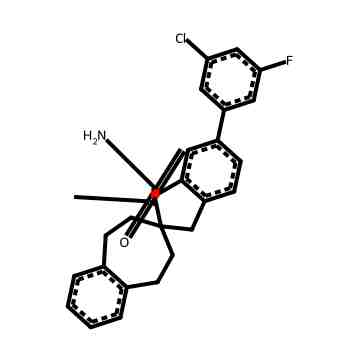 CN1C(=O)C2(N=C1N)c1cc(-c3cc(F)cc(Cl)c3)ccc1CC21CCc2ccccc2CC1